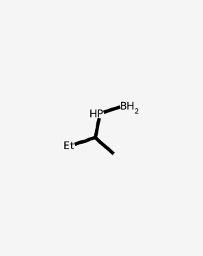 BPC(C)CC